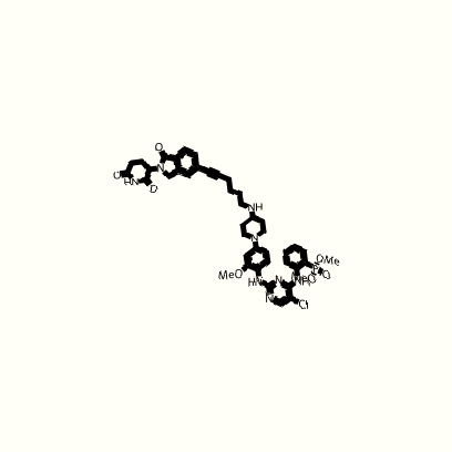 COc1cc(N2CCC(NCCCCC#Cc3ccc4c(c3)CN(C3CCC(=O)NC3=O)C4=O)CC2)ccc1Nc1ncc(Cl)c(Nc2ccccc2P(=O)(OC)OC)n1